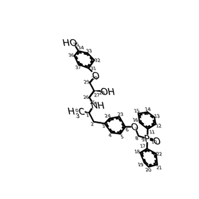 C[C@H](Cc1ccc(OCP(=O)(c2ccccc2)c2ccccc2)cc1)NC[C@H](O)COc1ccc(O)cc1